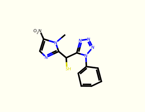 Cn1c([N+](=O)[O-])cnc1C(S)c1nnnn1-c1ccccc1